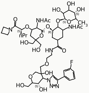 CCC[C@H](OC1CC(CO)(CO)O[C@@H](O[C@@H]2CC(C(=O)NCCOCC3(O)COC(CO)[C@@H](O)C3n3cc(-c4cccc(F)c4)nn3)CC(NC(C)=O)C2O[C@@H]2OC(C)[C@@H](O)C(O)C2O)C1NC(C)=O)C(=O)N1CCC1